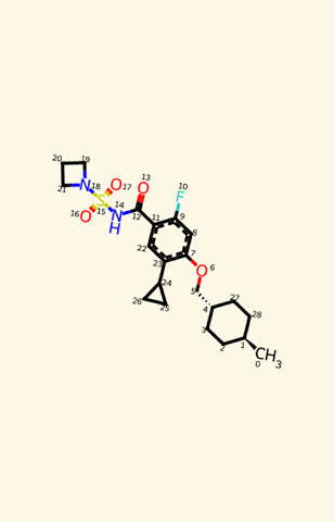 C[C@H]1CC[C@H](COc2cc(F)c(C(=O)NS(=O)(=O)N3CCC3)cc2C2CC2)CC1